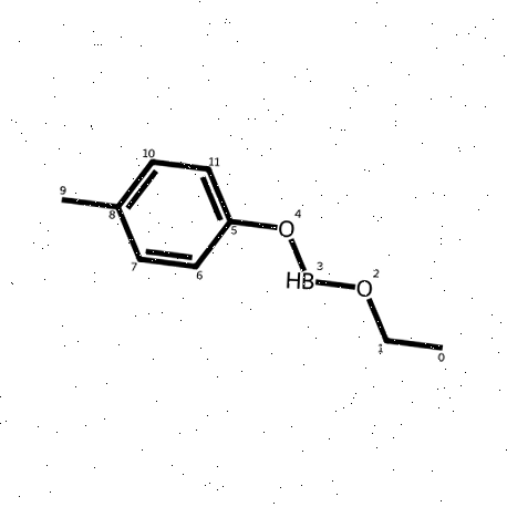 CCOBOc1ccc(C)cc1